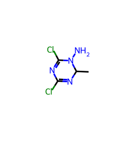 CC1N=C(Cl)N=C(Cl)N1N